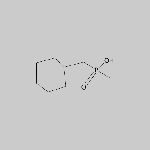 CP(=O)(O)CC1CCCCC1